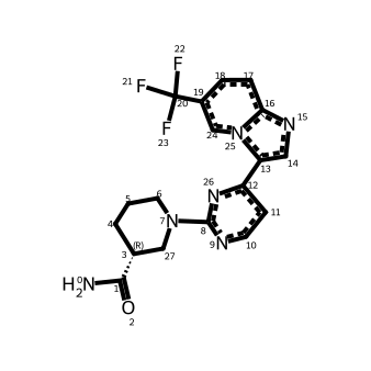 NC(=O)[C@@H]1CCCN(c2nccc(-c3cnc4ccc(C(F)(F)F)cn34)n2)C1